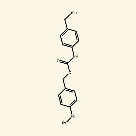 CC(C)Nc1ccc(COC(=O)Nc2ccc(CC(C)(C)C)cc2)cc1